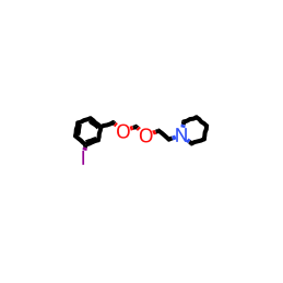 Ic1cccc(COCOCCN2CCCCC2)c1